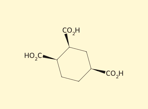 O=C(O)[C@H]1CC[C@@H](C(=O)O)[C@@H](C(=O)O)C1